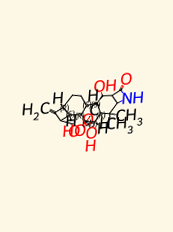 C=C1C2C(=O)[C@]34[C@H]2[C@H]1CC[C@H]3[C@@]12CO[C@]4(O)[C@@H](O)[C@@H]1C(C)(C)C1NC(=O)C1C2O